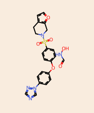 O=CNO.O=S(=O)(c1ccc(Oc2ccc(-n3cncn3)cc2)cc1)N1CCc2ccoc2C1